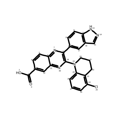 O=C(O)c1ccc2nc(-c3ccc4[nH]ncc4c3)c(N3CCCc4c(Cl)cccc43)nc2c1